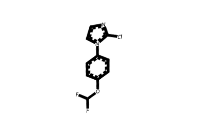 FC(F)Oc1ccc(-n2ccnc2Cl)cc1